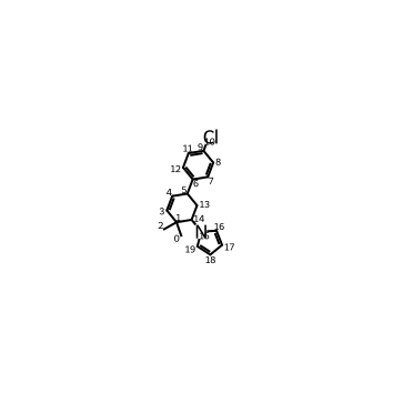 CC1(C)C=CC(c2ccc(Cl)cc2)CC1n1cccc1